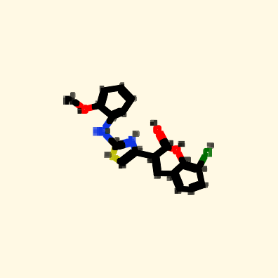 CC(C)Oc1ccccc1Nc1nc(-c2cc3cccc(Cl)c3oc2=O)cs1